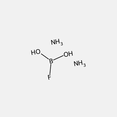 N.N.OB(O)F